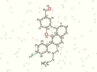 CCCCc1cc2ccccc2c(Oc2ccc(C=O)cc2)c1-c1ccc(F)cc1